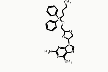 CCCC[Si](OCC1OCC(n2cnc3c(N)nc(N)nc32)O1)(c1ccccc1)c1ccccc1